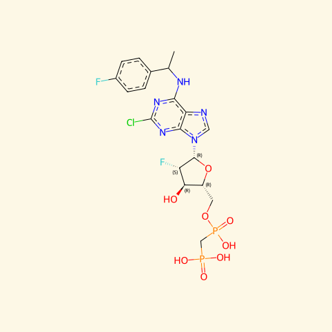 CC(Nc1nc(Cl)nc2c1ncn2[C@@H]1O[C@H](COP(=O)(O)CP(=O)(O)O)[C@@H](O)[C@@H]1F)c1ccc(F)cc1